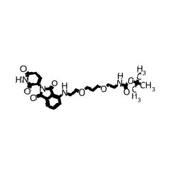 CC(C)(C)OC(=O)NCCOCCCOCCNc1cccc2c1C(=O)N(C1CCC(=O)NC1=O)C2=O